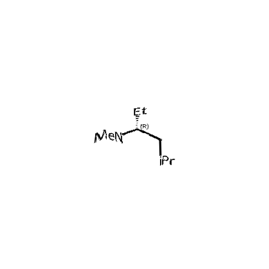 CC[C@H](CC(C)C)NC